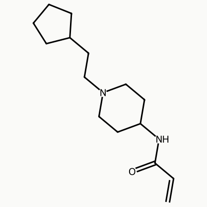 C=CC(=O)NC1CCN(CCC2CCCC2)CC1